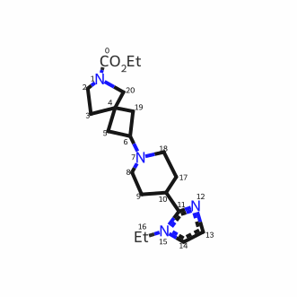 CCOC(=O)N1CCC2(CC(N3CCC(c4nccn4CC)CC3)C2)C1